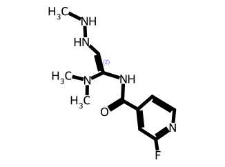 CNN/C=C(/NC(=O)c1ccnc(F)c1)N(C)C